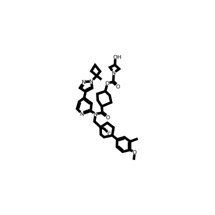 COc1ccc(C23CCC(CN(C(=O)C4CCC(OC(=O)N5CC(O)C5)CC4)c4cc(-c5cnn(C6(C)CCC6)c5)ccn4)(CC2)CC3)cc1C